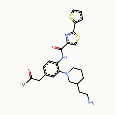 CC(=O)Cc1ccc(NC(=O)c2csc(-c3cccs3)n2)c(N2CCCC(CCN)C2)c1